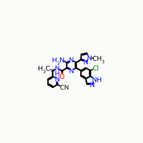 C[C@H](NC(=O)c1nc(-c2cc(Cl)c3[nH]ncc3c2)c(-c2ccn(C)n2)nc1N)c1cccc(C#N)n1